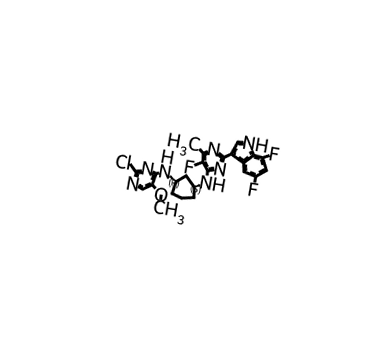 COc1cnc(Cl)nc1N[C@@H]1CCC[C@H](Nc2nc(-c3c[nH]c4c(F)cc(F)cc34)nc(C)c2F)C1